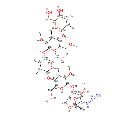 COCC1O[C@@H](O[C@H]2C(C)C(C)[C@@H](O[C@H]3C(C)C(OC)[C@H](O[C@H]4C5CO[C@H](O5)C(N=[N+]=[N-])[C@@H]4OC)O[C@H]3COC)O[C@H]2COC)C(OC)[C@@H](C)[C@@H]1O[C@@H]1OC(CO)[C@@H](O)[C@H](C)C1C